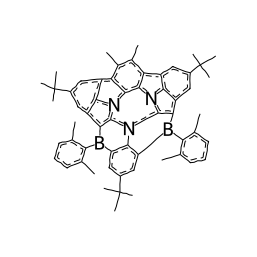 Cc1cccc(C)c1B1c2cc(C(C)(C)C)cc3c2-n2c4c1c1cc(C(C)(C)C)cc5c6c(C)c(C)c7c8cc(C(C)(C)C)cc9c(c2n(c98)c7c6n4c15)B3c1c(C)cccc1C